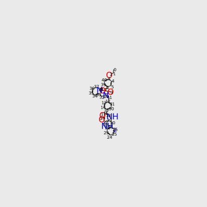 CCOc1ccc(S(=O)(=O)N(Cc2ccc(C(=O)N[C@@H](Cc3ccccc3)C(N)=O)cc2)Cc2ccccn2)cc1